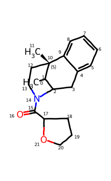 CC1C2Cc3ccccc3[C@@]1(C)CCN2C(=O)C1CCCO1